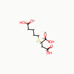 O=C(O)CCCCSC(CC(=O)O)C(=O)O